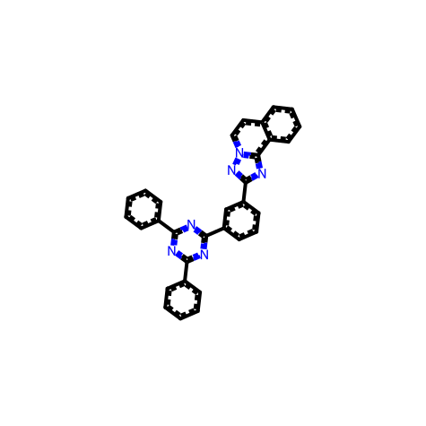 c1ccc(-c2nc(-c3ccccc3)nc(-c3cccc(-c4nc5c6ccccc6ccn5n4)c3)n2)cc1